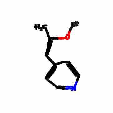 [CH2]C(=Cc1ccncc1)OCC